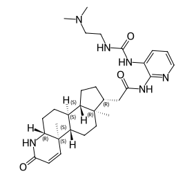 CN(C)CCNC(=O)Nc1cccnc1NC(=O)C[C@H]1CC[C@H]2[C@@H]3CC[C@H]4NC(=O)C=C[C@]4(C)[C@H]3CC[C@]12C